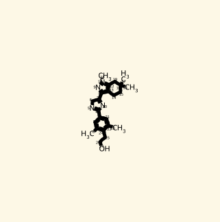 Cc1cc(C2=NCC(c3nn(C)c4c3CCC(C)(C)C4)=N2)cc(C)c1CCO